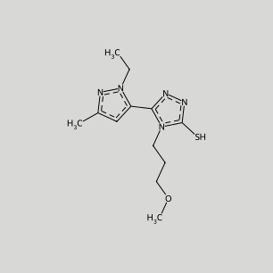 CCn1nc(C)cc1-c1nnc(S)n1CCCOC